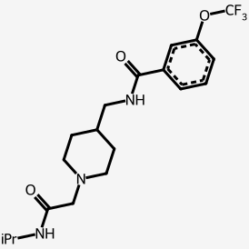 CC(C)NC(=O)CN1CCC(CNC(=O)c2cccc(OC(F)(F)F)c2)CC1